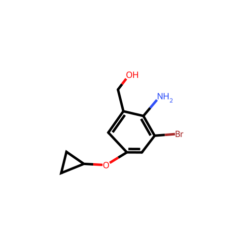 Nc1c(Br)cc(OC2CC2)cc1CO